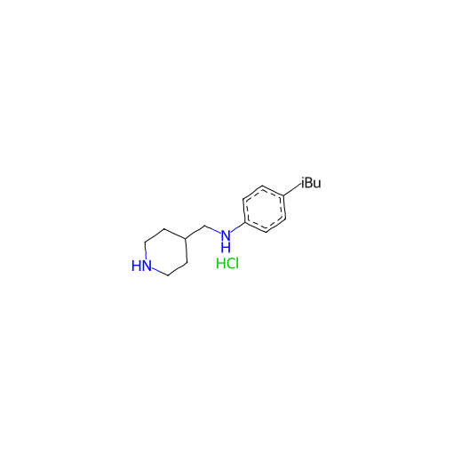 CCC(C)c1ccc(NCC2CCNCC2)cc1.Cl